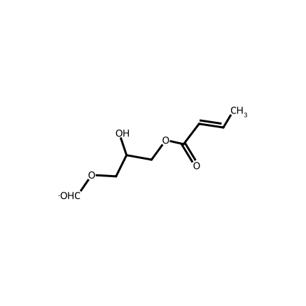 CC=CC(=O)OCC(O)CO[C]=O